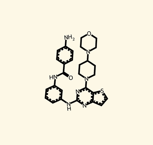 Nc1ccc(C(=O)Nc2cccc(Nc3nc(N4CCC(N5CCOCC5)CC4)c4sccc4n3)c2)cc1